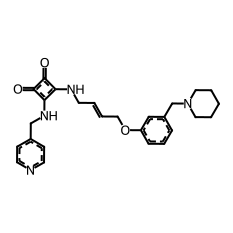 O=c1c(NCC=CCOc2cccc(CN3CCCCC3)c2)c(NCc2ccncc2)c1=O